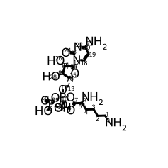 NCCCC[C@H](N)C(=O)OP(=O)(OC[C@H]1O[C@@H](n2ccc(N)nc2=O)[C@H](O)[C@@H]1O)OP(=O)(O)O